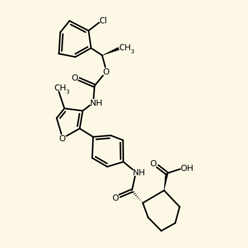 Cc1coc(-c2ccc(NC(=O)[C@H]3CCCC[C@@H]3C(=O)O)cc2)c1NC(=O)O[C@H](C)c1ccccc1Cl